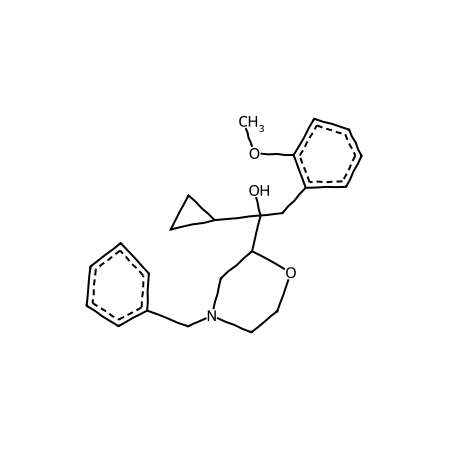 COc1ccccc1CC(O)(C1CC1)C1CN(Cc2ccccc2)CCO1